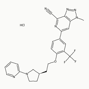 Cl.Cn1nnc2c(C#N)nc(-c3ccc(OCC[C@H]4CCN(c5ccccn5)C4)c(C(F)(F)F)c3)cc21